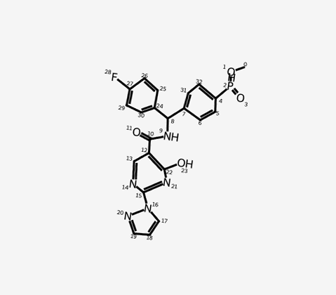 CO[PH](=O)c1ccc(C(NC(=O)c2cnc(-n3cccn3)nc2O)c2ccc(F)cc2)cc1